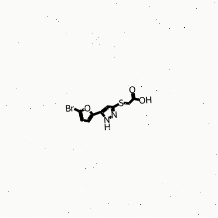 O=C(O)CSc1cc(-c2ccc(Br)o2)[nH]n1